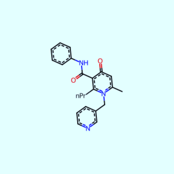 CCCc1c(C(=O)Nc2ccccc2)c(=O)cc(C)n1Cc1cccnc1